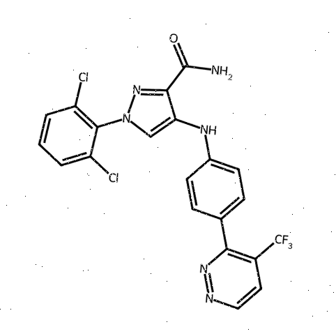 NC(=O)c1nn(-c2c(Cl)cccc2Cl)cc1Nc1ccc(-c2nnccc2C(F)(F)F)cc1